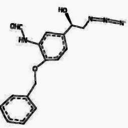 [N-]=[N+]=NC[C@H](O)c1ccc(OCc2ccccc2)c(NC=O)c1